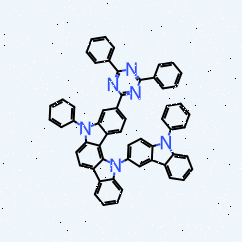 c1ccc(-c2nc(-c3ccccc3)nc(-c3ccc4c5c(ccc6c7ccccc7n(-c7ccc8c(c7)c7ccccc7n8-c7ccccc7)c65)n(-c5ccccc5)c4c3)n2)cc1